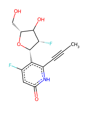 CC#Cc1[nH]c(=O)cc(F)c1[C@@H]1O[C@H](CO)C(O)[C@@H]1F